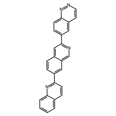 c1ccc2nc(-c3ccc4cc(-c5ccc6nnccc6c5)ncc4c3)ccc2c1